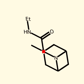 CCNC(=O)CN1C2CC1CN(C)C2